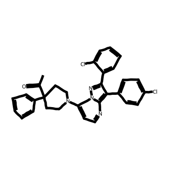 CC(=O)C1(c2ccccc2)CCN(c2ccnc3c(-c4ccc(Cl)cc4)c(-c4ccccc4Cl)nn23)CC1